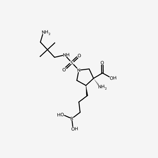 CC(C)(CN)CNS(=O)(=O)N1C[C@H](CCCB(O)O)[C@](N)(C(=O)O)C1